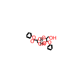 O=C(Oc1ccccc1)C(CO)OBOC(CO)C(=O)Oc1ccccc1